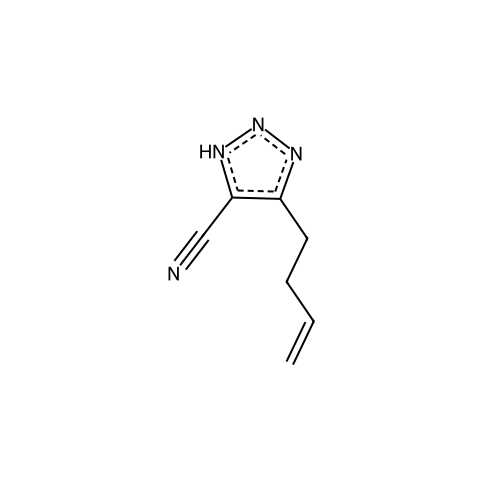 C=CCCc1nn[nH]c1C#N